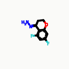 N/N=C1\CCOc2cc(F)cc(F)c21